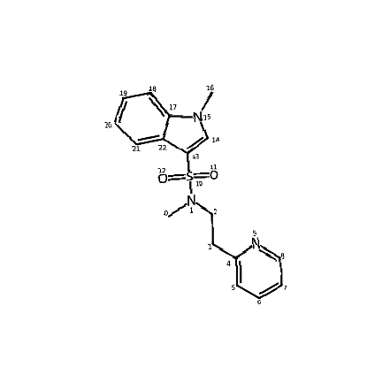 CN(CCc1ccccn1)S(=O)(=O)c1cn(C)c2ccccc12